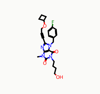 Cn1c(=O)n(CCCCO)c(=O)c2c1nc(C#CCOC1CCC1)n2Cc1ccc(F)cc1